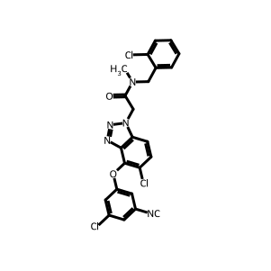 [C-]#[N+]c1cc(Cl)cc(Oc2c(Cl)ccc3c2nnn3CC(=O)N(C)Cc2ccccc2Cl)c1